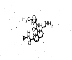 Cc1nc(NC(=O)N2c3nc(C(=O)NC4CC4)ccc3CC[C@@H]2CCN)co1